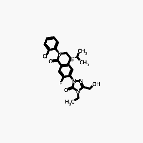 CCn1c(CO)nn(-c2cc3c(cc2F)C(=O)N(c2ccccc2Cl)C[C@@H]3C(C)C)c1=O